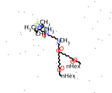 CCCCCC/C=C\COC(=O)CCCCCCCC(CCCCCCCC(=O)OC/C=C\CCCCCC)OC(=O)CCCN(C)CCCCCCNC(=O)CCC1=C2C(C)=CC(C)=[N+]2[B-](F)(F)n2c(C)cc(C)c21